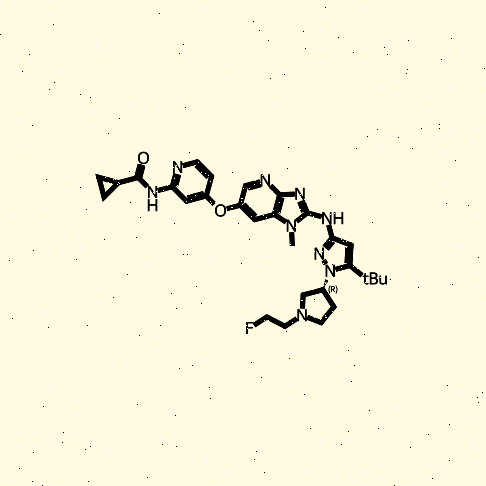 Cn1c(Nc2cc(C(C)(C)C)n([C@@H]3CCN(CCF)C3)n2)nc2ncc(Oc3ccnc(NC(=O)C4CC4)c3)cc21